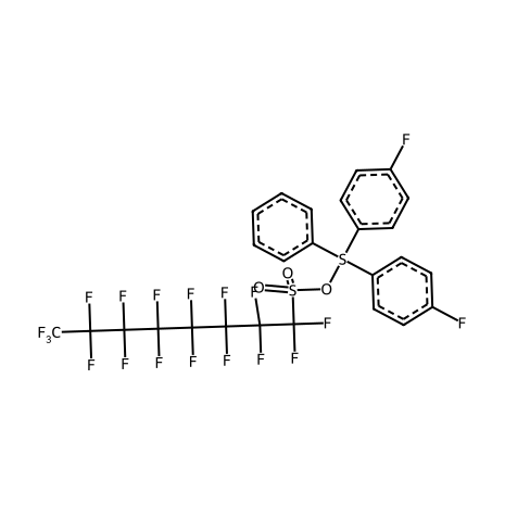 O=S(=O)(OS(c1ccccc1)(c1ccc(F)cc1)c1ccc(F)cc1)C(F)(F)C(F)(F)C(F)(F)C(F)(F)C(F)(F)C(F)(F)C(F)(F)C(F)(F)F